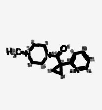 CN1CCN(C(=O)C2(c3ccccn3)CC2)CC1